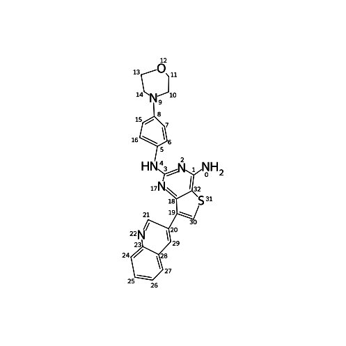 Nc1nc(Nc2ccc(N3CCOCC3)cc2)nc2c(-c3cnc4ccccc4c3)csc12